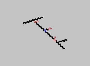 CCCCCCCCC(CCCCCC)OC(=O)CCCCCCCN(CCO)CCCCCCCC(=O)OCCC(CCCCCC)CCCCCC